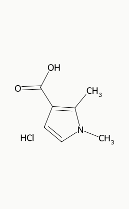 Cc1c(C(=O)O)ccn1C.Cl